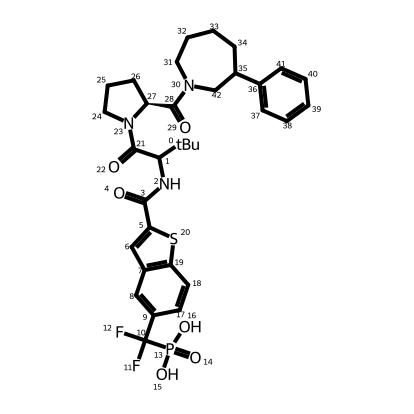 CC(C)(C)C(NC(=O)c1cc2cc(C(F)(F)P(=O)(O)O)ccc2s1)C(=O)N1CCC[C@H]1C(=O)N1CCCCC(c2ccccc2)C1